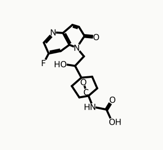 O=C(O)NC12CCC(C(O)Cn3c(=O)ccc4ncc(F)cc43)(CC1)OC2